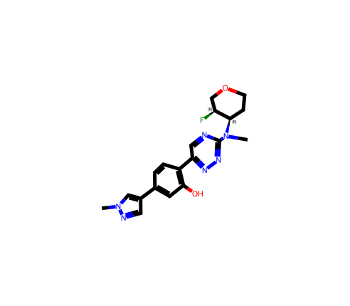 CN(c1ncc(-c2ccc(-c3cnn(C)c3)cc2O)nn1)[C@@H]1CCOC[C@@H]1F